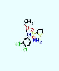 CCOCN(c1cc(Cl)c(Cl)cc1N)S(=O)(=O)c1cccs1